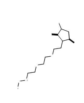 CC(C)NNCCOCCOCCC1C(=O)CC(C)C1=O